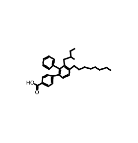 CCCCCCCCc1ccc(-c2ccc(C(=O)O)cc2)c(-c2ccccc2)c1CC(C)CC